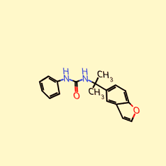 CC(C)(NC(=O)Nc1ccccc1)c1ccc2occc2c1